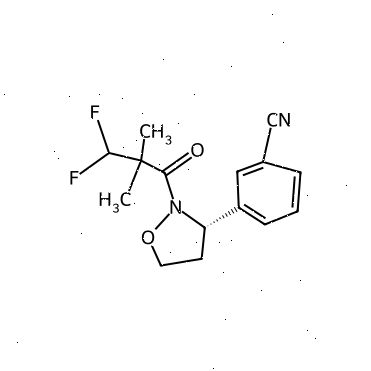 CC(C)(C(=O)N1OCC[C@H]1c1cccc(C#N)c1)C(F)F